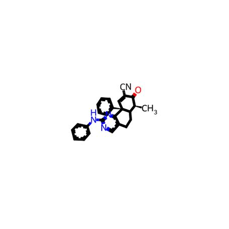 C[C@@H]1C(=O)C(C#N)=C[C@@]2(c3ccccc3)c3nc(Nc4ccccc4)ncc3CCC12